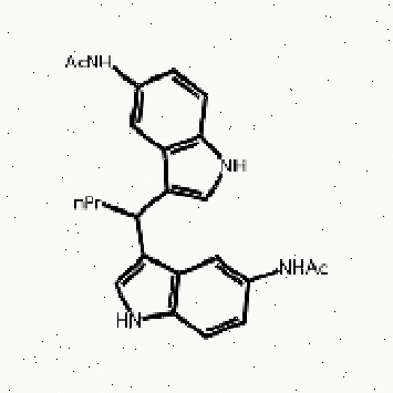 CCCC(c1c[nH]c2ccc(NC(C)=O)cc12)c1c[nH]c2ccc(NC(C)=O)cc12